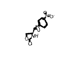 O=C1N[C@H](COc2ccc([N+](=O)[O-])cc2)CO1